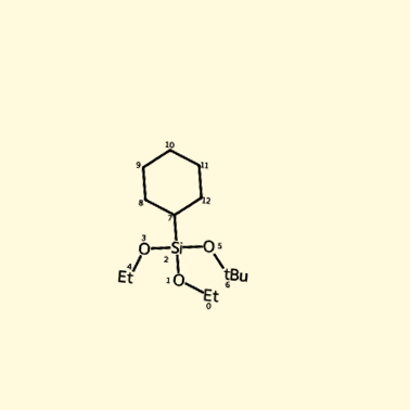 CCO[Si](OCC)(OC(C)(C)C)C1CCCCC1